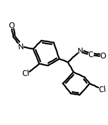 O=C=Nc1ccc(C(N=C=O)c2cccc(Cl)c2)cc1Cl